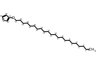 CCCCCCCCCCCCCCCCCCCCCCOc1ccsc1